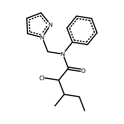 CCC(C)C(Cl)C(=O)N(Cn1cccn1)c1ccccc1